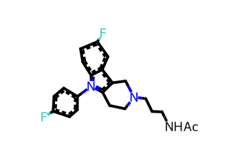 CC(=O)NCCCN1CCc2c(c3cc(F)ccc3n2-c2ccc(F)cc2)C1